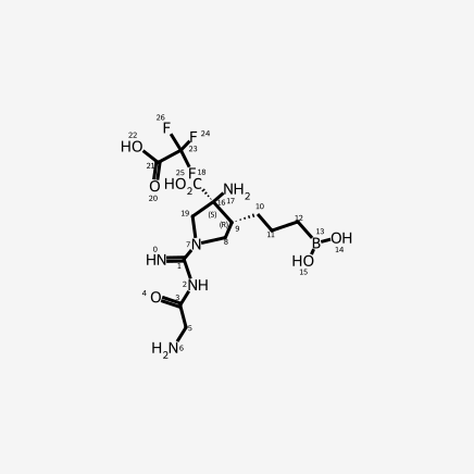 N=C(NC(=O)CN)N1C[C@@H](CCCB(O)O)[C@@](N)(C(=O)O)C1.O=C(O)C(F)(F)F